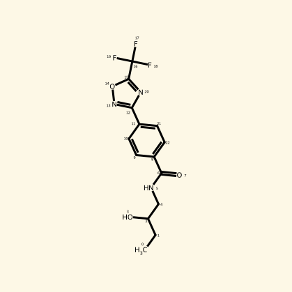 CCC(O)CNC(=O)c1ccc(-c2noc(C(F)(F)F)n2)cc1